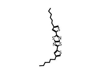 CCCCCCc1csc(-c2nc3sc(-c4cc(CCCCCC)cs4)nc3s2)c1